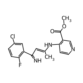 COC(=O)c1cnccc1N/C(C)=C/C(=N)c1cc(Cl)ccc1F